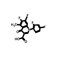 Cc1c(F)c(F)cc2c1c(=O)c(C(=O)O)cn2-c1ccc(F)cc1F